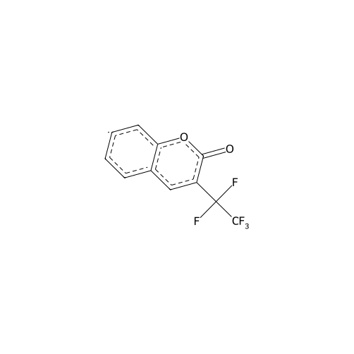 O=c1oc2c[c]ccc2cc1C(F)(F)C(F)(F)F